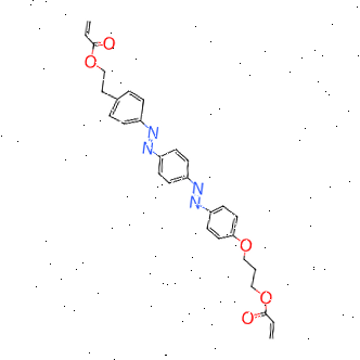 C=CC(=O)OCCCOc1ccc(/N=N/c2ccc(/N=N/c3ccc(CCOC(=O)C=C)cc3)cc2)cc1